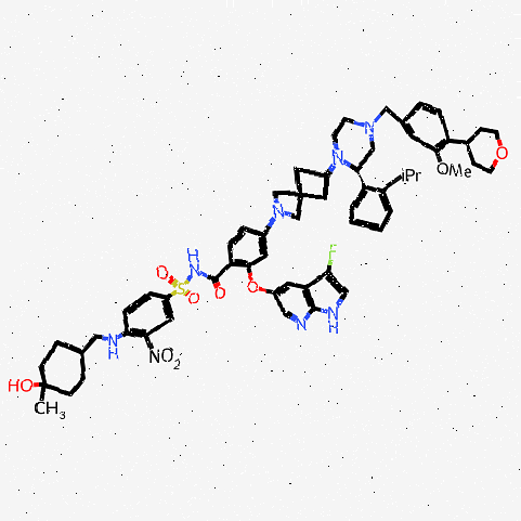 COc1cc(CN2CCN(C3CC4(C3)CN(c3ccc(C(=O)NS(=O)(=O)c5ccc(NCC6CCC(C)(O)CC6)c([N+](=O)[O-])c5)c(Oc5cnc6[nH]cc(F)c6c5)c3)C4)[C@H](c3ccccc3C(C)C)C2)ccc1C1CCOCC1